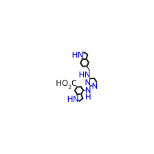 O=C(O)c1cc(Nc2nccc(NCc3ccc4[nH]ccc4c3)n2)c2cc[nH]c2c1